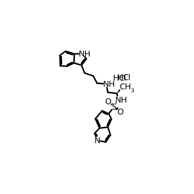 C[C@H](CNCCCc1c[nH]c2ccccc12)NS(=O)(=O)c1ccc2cnccc2c1.Cl.Cl